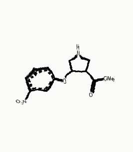 COC(=O)C1CNCC1Oc1cccc([N+](=O)[O-])c1